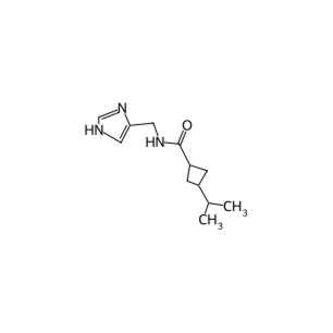 CC(C)C1CC(C(=O)NCc2c[nH]cn2)C1